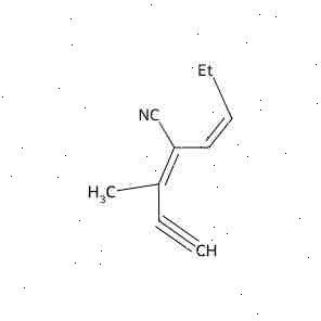 C#C/C(C)=C(C#N)\C=C/CC